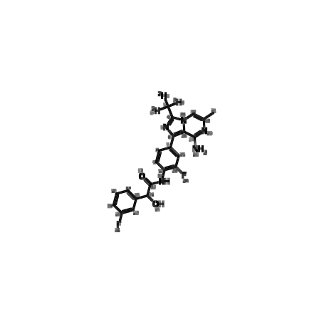 [2H]C([2H])([2H])c1nc(-c2ccc(NC(=O)C(O)c3cccc(F)c3)c(F)c2)c2c(N)nc(C)cn12